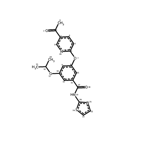 CC(=O)c1ccc(Oc2cc(OC(C)C)cc(C(=O)Nc3nccs3)c2)nc1